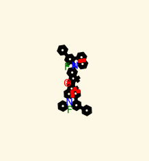 CC1(C)c2cc(N(c3ccccc3)c3c(F)cc(-c4ccccc4)cc3-c3ccccc3)ccc2-c2oc3c(c21)C(C)(C)c1cc(N(c2ccccc2)c2c(F)cc(-c4ccccc4)cc2-c2ccccc2)ccc1-3